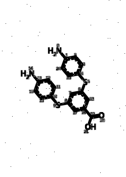 Nc1ccc(Sc2cc(Sc3ccc(N)cc3)cc(C(=O)O)c2)cc1